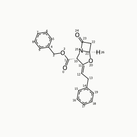 O=C(OCc1ccccc1)[C@H]1C(=CCc2ccccc2)O[C@@H]2CC(=O)N12